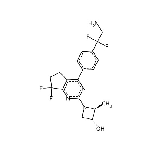 C[C@H]1[C@H](O)CN1c1nc(-c2ccc(C(F)(F)CN)cc2)c2c(n1)C(F)(F)CC2